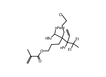 C=CC(CCC)(C(C)(CC)CC)C(CCCCl)(CCCOC(=O)C(=C)C)[C](CCCC)CCCCC